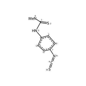 CNC(=S)Nc1ccc(N=C=S)cc1